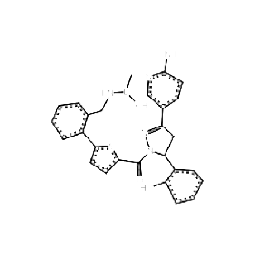 CB(O)NCc1ccccc1-c1ccc(C(=O)N2N=C(c3ccc(N)nc3)CC2c2ccccc2O)s1